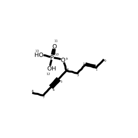 CC=CCC(C#CCC)OP(=O)(O)O